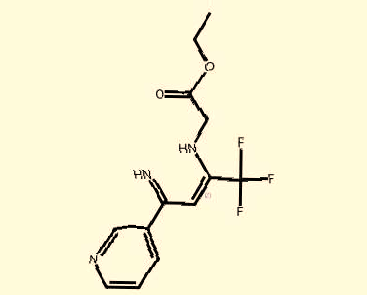 CCOC(=O)CN/C(=C\C(=N)c1cccnc1)C(F)(F)F